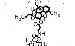 CCCC(=O)O[C@@]12CC=C(OC(=O)CCNC(=O)OC(C)(C)C)[C@@H]3Oc4c(C)ccc5c4[C@@]31CCN(C)[C@@H]2C5